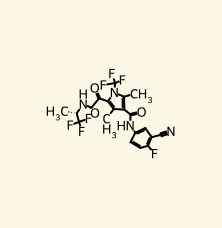 Cc1c(C(=O)Nc2ccc(F)c(C#N)c2)c(C)n(C(F)(F)F)c1C(=O)C(=O)N[C@@H](C)C(F)(F)F